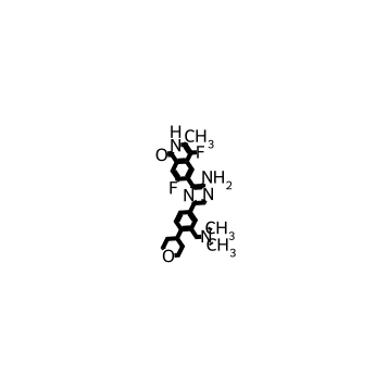 Cc1[nH]c(=O)c2cc(F)c(-c3nc(-c4ccc(C5CCOCC5)c(CN(C)C)c4)cnc3N)cc2c1F